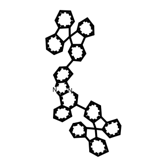 c1ccc2c(c1)-c1ccccc1C21c2ccccc2-c2ccc(-c3ccc4nc5c6ccccc6c(-c6ccc7c(c6)C6(c8ccccc8-c8ccccc86)c6ccccc6-7)cn5c4c3)cc21